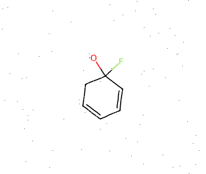 [O]C1(F)C=CC=CC1